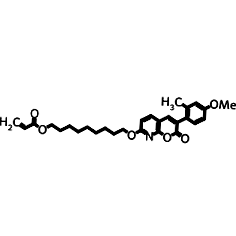 C=CC(=O)OCCCCCCCCCOc1ccc2cc(-c3ccc(OC)cc3C)c(=O)oc2n1